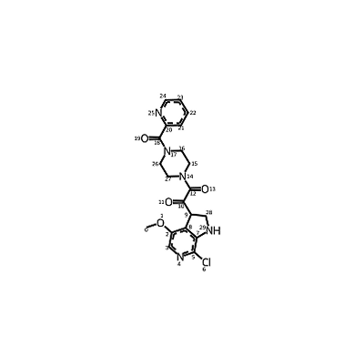 COc1cnc(Cl)c2c1C(C(=O)C(=O)N1CCN(C(=O)c3ccccn3)CC1)CN2